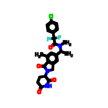 Bc1cc(C(B)N(B)C(=O)C(F)(F)c2ccc(Cl)cc2)cc2c1C(=O)N(C1CCC(=O)NC1=O)C2